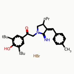 Br.CCCC1CN(CC(=O)c2cc(C(C)(C)C)c(O)c(C(C)(C)C)c2)C(=N)/C1=C\c1ccc(C)cc1